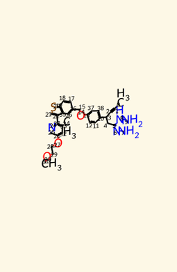 CC#CC(C/C(=N/N)NN)c1ccc(OCc2ccc3scc(-c4ncc(OCCOC)cc4C)c3c2)cc1